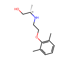 Cc1cccc(C)c1OCCN[C@@H](C)CO